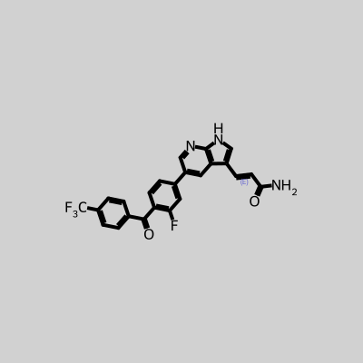 NC(=O)/C=C/c1c[nH]c2ncc(-c3ccc(C(=O)c4ccc(C(F)(F)F)cc4)c(F)c3)cc12